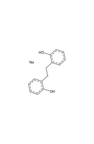 Oc1ccccc1CCc1ccccc1O.[Na]